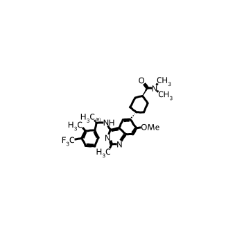 COc1cc2nc(C)nc(N[C@H](C)c3cccc(C(F)(F)F)c3C)c2cc1[C@H]1CC[C@H](C(=O)N(C)C)CC1